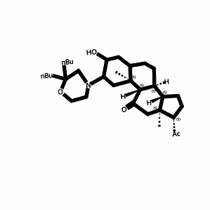 CCCCC1(CCCC)CN(C2C[C@@]3(C)C(CC[C@H]4[C@@H]5CC[C@H](C(C)=O)[C@@]5(C)CC(=O)[C@@H]43)CC2O)CCO1